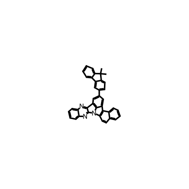 CC1(C)c2ccccc2-c2cc(-c3cc4c5nc6ccccc6nc5n5c6ccc7ccccc7c6c(c3)c45)ccc21